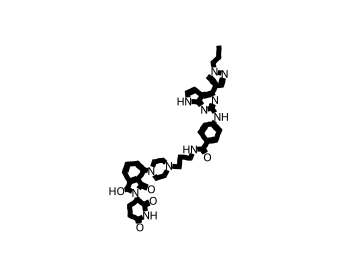 CCCn1cc(-c2nc(Nc3ccc(C(=O)NCCCN4CCN(c5cccc6c5C(=O)N(C5CCC(=O)NC5=O)C6O)CC4)cc3)nc3[nH]ccc23)cn1